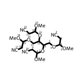 COC(CC#N)OCC(OC(CC#N)OC)C(COC(CC#N)OC)OC(CC#N)OC